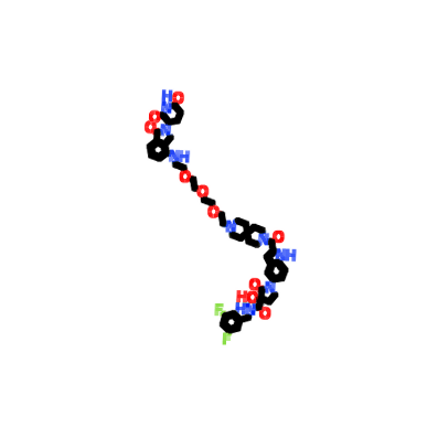 O=C1CCC(N2Cc3c(NCCOCCOCCOCCN4CCC5(CC4)CCN(C(=O)c4cc6cc(N7CC[C@](O)(C(=O)NCc8cc(F)cc(F)c8)C7=O)ccc6[nH]4)CC5)cccc3C2=O)C(=O)N1